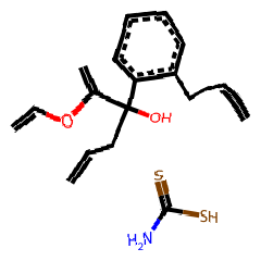 C=CCc1ccccc1C(O)(CC=C)C(=C)OC=C.NC(=S)S